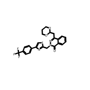 O=c1c2ccccc2c(CC2OCCCO2)nn1Cc1nc(-c2ccc(C(F)(F)F)cc2)cs1